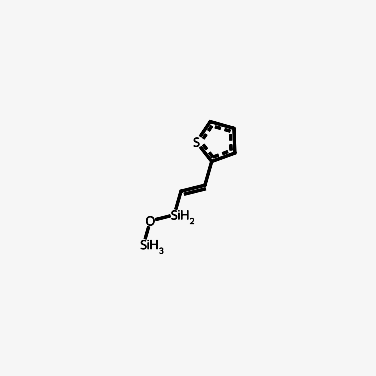 [SiH3]O[SiH2]C=Cc1cccs1